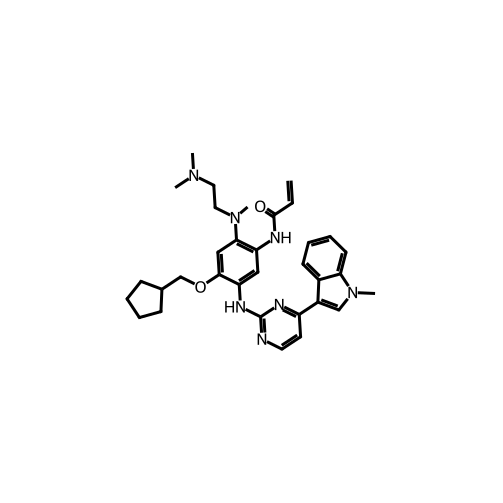 C=CC(=O)Nc1cc(Nc2nccc(-c3cn(C)c4ccccc34)n2)c(OCC2CCCC2)cc1N(C)CCN(C)C